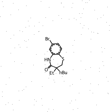 CCCCC1(CC)CSc2ccc(Br)cc2NC1=O